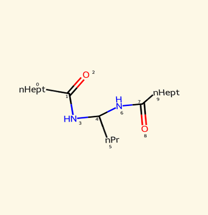 CCCCCCCC(=O)NC(CCC)NC(=O)CCCCCCC